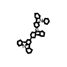 c1ccc(-n2c3ccccc3c3ccc(-n4c5ccccc5c5cc(-c6cc7c8ccccc8n8c9ccccc9c(c6)c78)ccc54)cc32)cc1